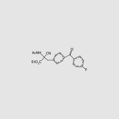 CCOC(=O)C(C#N)(Cc1ccc(C(=O)c2ccc(F)cc2)cc1)NC(C)=O